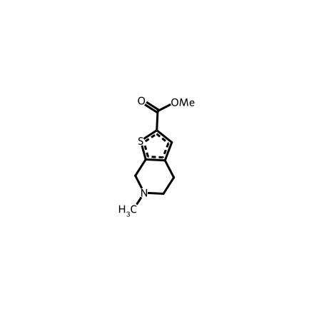 COC(=O)c1cc2c(s1)CN(C)CC2